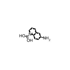 Nc1ccc2c(ccc[n+]2B(O)O)c1